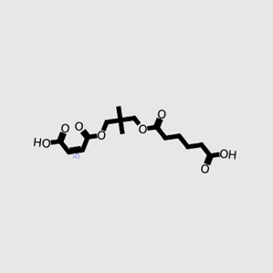 CC(C)(COC(=O)/C=C\C(=O)O)COC(=O)CCCCC(=O)O